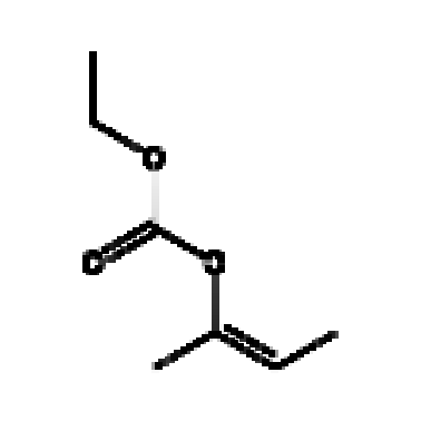 CC=C(C)OC(=O)OCC